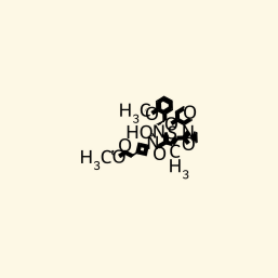 CCOC(=O)C[C@H]1C[C@H](N2C(=O)c3c(sc(-c4ncco4)c3C)N(C[C@H](OC3CCOCC3)c3ccccc3OC)C2O)C1